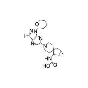 O=C(O)NC1C2CC2CC12CCN(c1cnc3c(I)nn(C4CCCCO4)c3n1)CC2